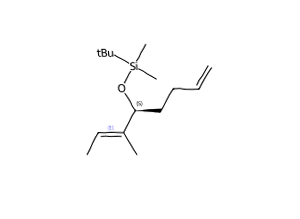 C=CCC[C@H](O[Si](C)(C)C(C)(C)C)/C(C)=C/C